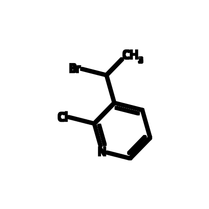 CC(Br)c1cccnc1Cl